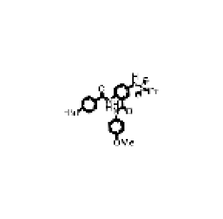 COc1ccc(NC(=O)c2cc(NS(=O)(=O)C(C)C)ccc2NC(=O)c2ccc(C(C)(C)C)cc2)cc1